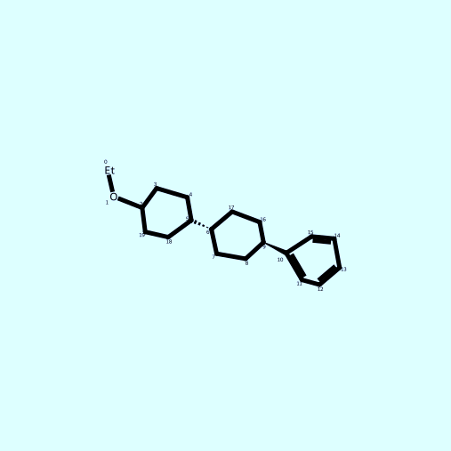 CCOC1CC[C]([C@H]2CC[C@H](c3ccccc3)CC2)CC1